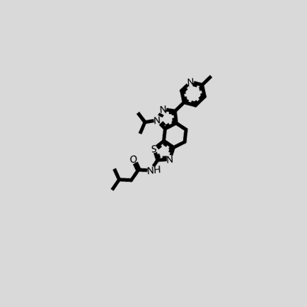 Cc1ccc(-c2nn(C(C)C)c3c2CCc2nc(NC(=O)CC(C)C)sc2-3)cn1